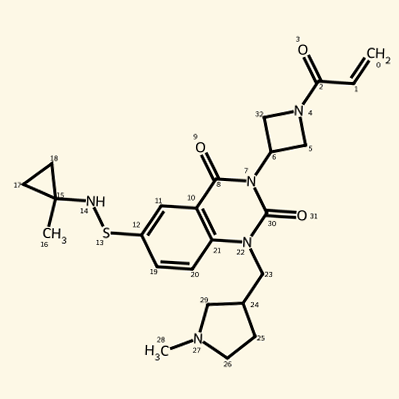 C=CC(=O)N1CC(n2c(=O)c3cc(SNC4(C)CC4)ccc3n(CC3CCN(C)C3)c2=O)C1